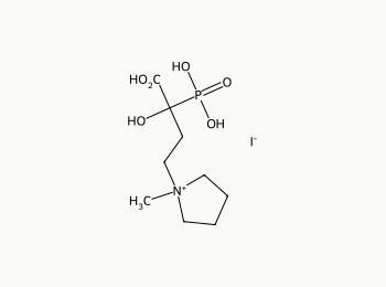 C[N+]1(CCC(O)(C(=O)O)P(=O)(O)O)CCCC1.[I-]